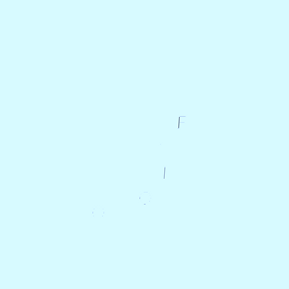 FC(F)=C(CC1OCCO1)c1ccccc1